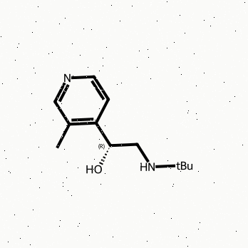 Cc1cnccc1[C@@H](O)CNC(C)(C)C